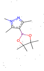 Cc1nn(C)c(C)c1P1OC(C)(C)C(C)(C)O1